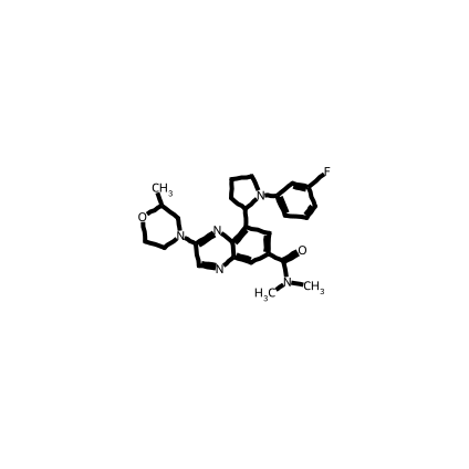 CC1CN(c2cnc3cc(C(=O)N(C)C)cc(C4CCCN4c4cccc(F)c4)c3n2)CCO1